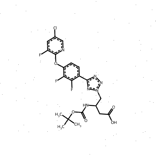 CC(C)(C)OC(=O)NC(CC(=O)O)Cn1nnc(-c2ccc(Oc3ncc(Cl)cc3F)c(F)c2F)n1